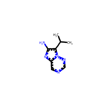 CC(C)c1c(N)nc2cncnn12